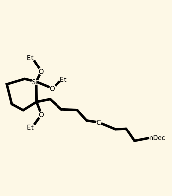 CCCCCCCCCCCCCCCCCCC1(OCC)CCCC[Si]1(OCC)OCC